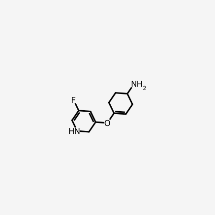 NC1CC=C(OC2=CC(F)=CNC2)CC1